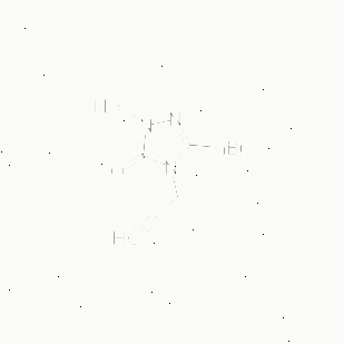 C#CCn1c(CCCC)nn(C)c1=O